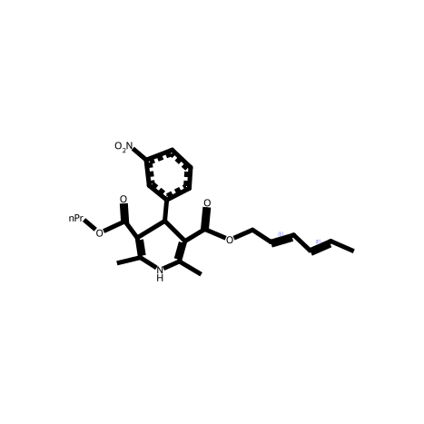 C/C=C/C=C/COC(=O)C1=C(C)NC(C)=C(C(=O)OCCC)C1c1cccc([N+](=O)[O-])c1